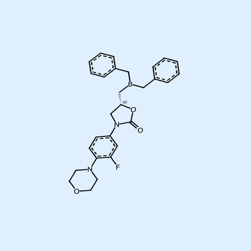 O=C1O[C@@H](CB(Cc2ccccc2)Cc2ccccc2)CN1c1ccc(N2CCOCC2)c(F)c1